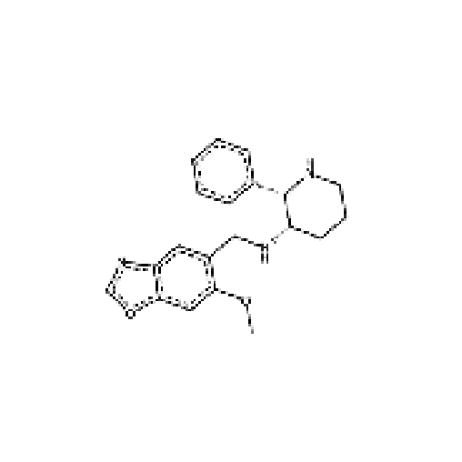 COc1cc2ocnc2cc1CN[C@H]1CCCN[C@H]1c1ccccc1